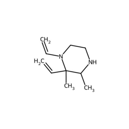 C=CN1CCNC(C)C1(C)C=C